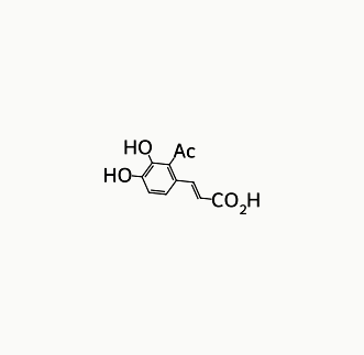 CC(=O)c1c(C=CC(=O)O)ccc(O)c1O